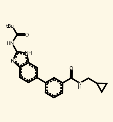 CC(C)(C)C(=O)Nc1nc2ccc(-c3cccc(C(=O)NCC4CC4)c3)cc2[nH]1